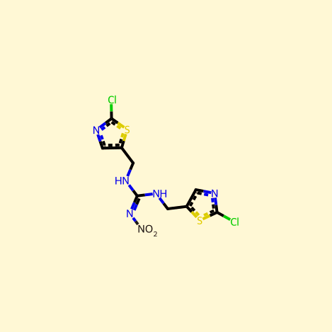 O=[N+]([O-])N=C(NCc1cnc(Cl)s1)NCc1cnc(Cl)s1